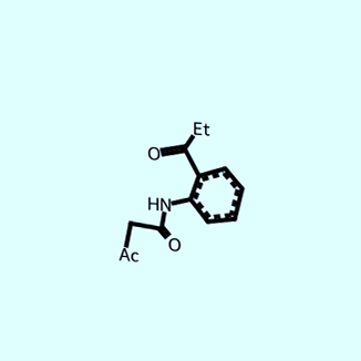 CCC(=O)c1ccccc1NC(=O)CC(C)=O